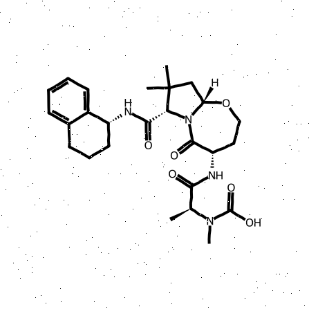 C[C@@H](C(=O)N[C@H]1CCO[C@H]2CC(C)(C)[C@@H](C(=O)N[C@@H]3CCCc4ccccc43)N2C1=O)N(C)C(=O)O